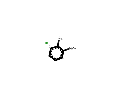 CNc1ccccc1C(C)(C)C.Cl